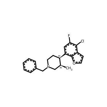 C[C@H]1CN(Cc2ccccc2)CC[C@H]1c1cc(F)c(Cl)c2ccoc12